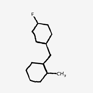 CC1CCCCC1CC1CCC(F)CC1